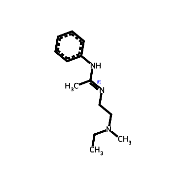 CCN(C)CC/N=C(\C)Nc1ccccc1